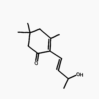 CC1=C(C=CC(C)O)C(=O)CC(C)(C)C1